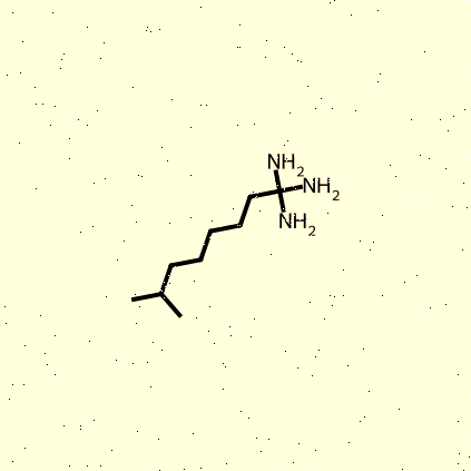 CC(C)CCCCCC(N)(N)N